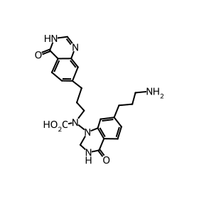 NCCCc1ccc2c(c1)N(N(CCCc1ccc3c(=O)[nH]cnc3c1)C(=O)O)CNC2=O